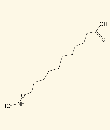 O=C(O)CCCCCCCCCCONO